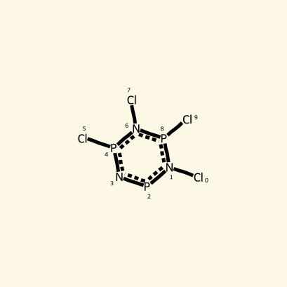 Cln1pnp(Cl)n(Cl)p1Cl